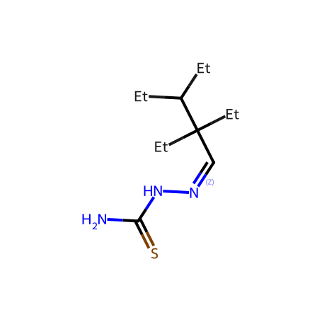 CCC(CC)C(/C=N\NC(N)=S)(CC)CC